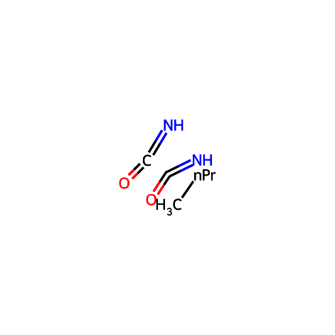 CCCC.N=C=O.N=C=O